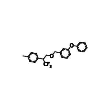 Cc1ccc(C(COCc2cccc(Oc3ccccc3)c2)C(F)(F)F)cc1